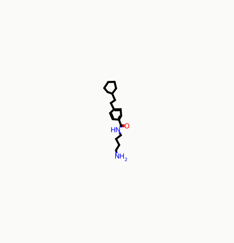 NCCCCNC(=O)c1ccc(CCC2CCCCC2)cc1